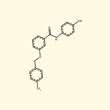 N#Cc1ccc(NC(=O)c2cccc(OCc3ccc(C(F)(F)F)cc3)c2)cc1